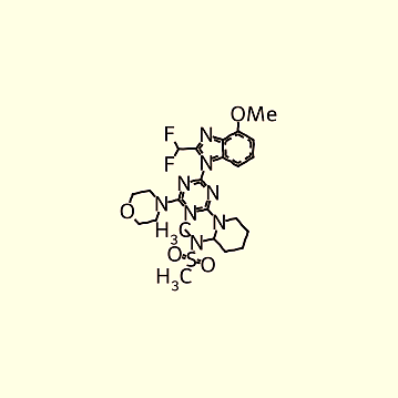 COc1cccc2c1nc(C(F)F)n2-c1nc(N2CCOCC2)nc(N2CCCCC2N(C)S(C)(=O)=O)n1